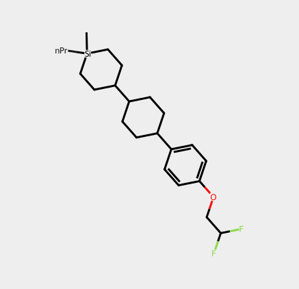 CCC[Si]1(C)CCC(C2CCC(c3ccc(OCC(F)F)cc3)CC2)CC1